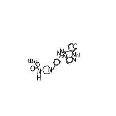 CC(C)(C)OC(=O)NC1CCN(Cc2ccc(-c3nnc4n3-c3cccnc3Nc3ccccc3-4)cc2)CC1